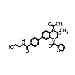 CC(=O)N1c2ccc(-c3ccc(C(=O)NCCO)cc3)cc2N(C(=O)c2ccco2)C[C@@H]1C